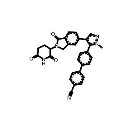 Cn1ncc(-c2ccc3c(c2)CN(C2CCC(=O)NC2=O)C3=O)c1-c1ccc(-c2ccc(C#N)cc2)cc1